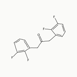 O=C(Cc1cccc(F)c1F)Cc1cccc(F)c1F